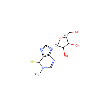 CN1C=Nc2c(ncn2[C@@H]2O[C@H](CO)C(O)C2O)C1S